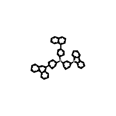 c1cc(N(c2ccc(-c3cccc4ccccc34)cc2)c2ccc(-c3cc4ccccc4c4ccccc34)cc2)cc(-n2c3ccccc3c3ccccc32)c1